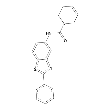 O=C(Nc1ccc2sc(-c3ccccc3)nc2c1)N1CC=CCC1